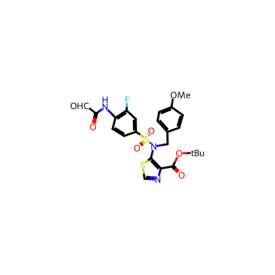 COc1ccc(CN(c2scnc2C(=O)OC(C)(C)C)S(=O)(=O)c2ccc(NC(=O)C=O)c(F)c2)cc1